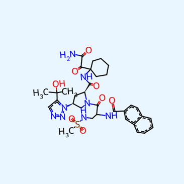 CC(C)(O)c1cnnn1[C@H]1C[C@@H](C(=O)NC2(C(=O)C(N)=O)CCCCC2)N(C(=O)C(CNS(C)(=O)=O)NC(=O)c2ccc3ccccc3c2)C1